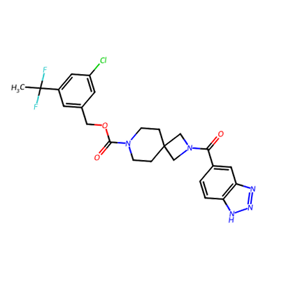 CC(F)(F)c1cc(Cl)cc(COC(=O)N2CCC3(CC2)CN(C(=O)c2ccc4[nH]nnc4c2)C3)c1